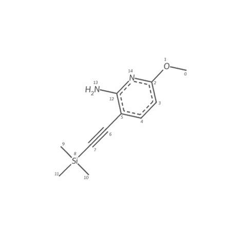 COc1ccc(C#C[Si](C)(C)C)c(N)n1